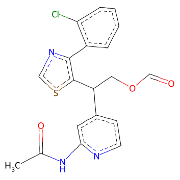 CC(=O)Nc1cc(C(COC=O)c2scnc2-c2ccccc2Cl)ccn1